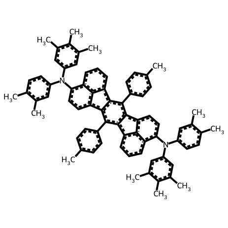 Cc1ccc(-c2c3c4cccc5c(N(c6ccc(C)c(C)c6)c6cc(C)c(C)c(C)c6)ccc(c3c(-c3ccc(C)cc3)c3c6cccc7c(N(c8ccc(C)c(C)c8)c8cc(C)c(C)c(C)c8)ccc(c23)c76)c54)cc1